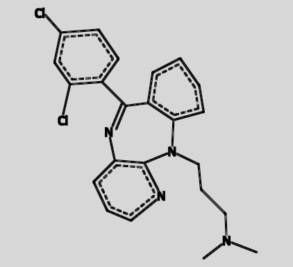 CN(C)CCCN1c2ccccc2C(c2ccc(Cl)cc2Cl)=Nc2cccnc21